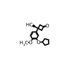 C#CC1(c2ccc(OC)c(OC3CCCC3)c2)CC(=O)C1